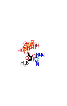 B[C@H]1C[C@@H](OC(F)(N=[N+]=[N-])N=[N+]=[N-])C(COP(=O)(O)OP(=O)(O)OP(=O)(O)O)O1